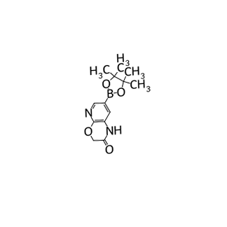 CC1(C)OB(c2cnc3c(c2)NC(=O)CO3)OC1(C)C